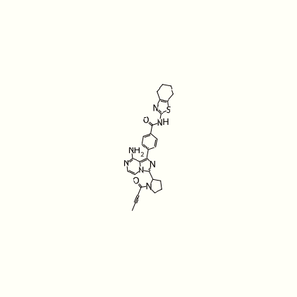 CC#CC(=O)N1CCCC1c1nc(-c2ccc(C(=O)Nc3nc4c(s3)CCCC4)cc2)c2c(N)nccn12